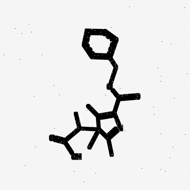 CC1=NC(C(=O)OCc2ccccc2)=C(C)C1(C)C(C)C(=O)O